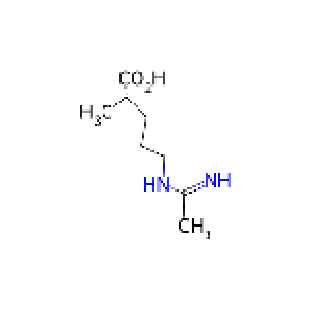 CC(=N)NCCC[C@H](C)C(=O)O